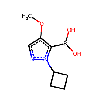 COc1cnn(C2CCC2)c1B(O)O